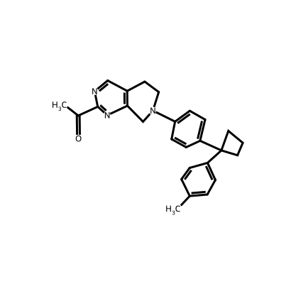 CC(=O)c1ncc2c(n1)CN(c1ccc(C3(c4ccc(C)cc4)CCC3)cc1)CC2